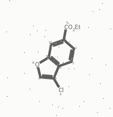 CCOC(=O)c1ccc2c(Cl)coc2c1